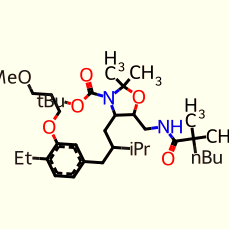 CCCCC(C)(C)C(=O)NCC1OC(C)(C)N(C(=O)OC(C)(C)C)C1CC(Cc1ccc(CC)c(OCCCOC)c1)C(C)C